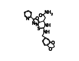 NC(=O)CC(NC(=S)NCc1ccc2c(c1)OCO2)c1nnc(-c2ccccn2)o1